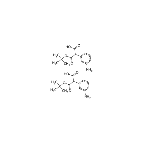 CC(C)(C)OC(=O)C(C(=O)O)c1cccc(N)c1.CC(C)(C)OC(=O)C(C(=O)O)c1cccc(N)c1